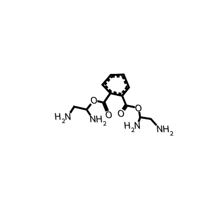 NCC(N)OC(=O)c1ccccc1C(=O)OC(N)CN